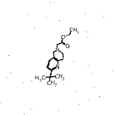 CCOC(=O)CN1CCc2nc(C(C)(C)C)ccc2C1